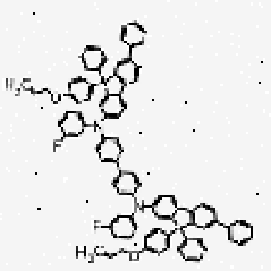 C=CCOc1ccc(C2(c3ccccc3)c3cc(-c4ccccc4)ccc3-c3ccc(N(c4ccc(-c5ccc(N(c6cccc(F)c6)c6ccc7c(c6)C(c6ccccc6)(c6ccc(OCC=C)cc6)c6cc(-c8ccccc8)ccc6-7)cc5)cc4)c4cccc(F)c4)cc32)cc1